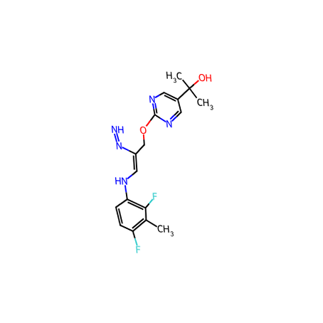 Cc1c(F)ccc(N/C=C(/COc2ncc(C(C)(C)O)cn2)N=N)c1F